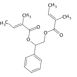 CC=C(C)C(=O)OCC(OC(=O)C(C)=CC)c1ccccc1